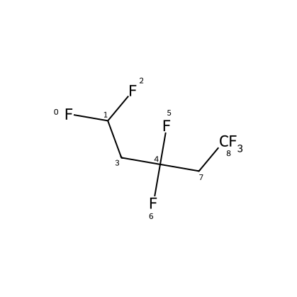 FC(F)CC(F)(F)CC(F)(F)F